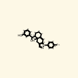 CC12Cc3cnn(-c4ccc(F)cc4)c3C=C1CCCC2C(O)c1cccc(O)c1